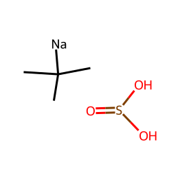 C[C](C)(C)[Na].O=S(O)O